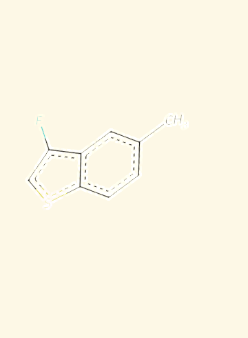 Cc1ccc2scc(F)c2c1